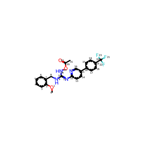 COc1ccccc1CNC(=Nc1ccc(-c2ccc(C(F)(F)F)cc2)cn1)NOC(C)=O